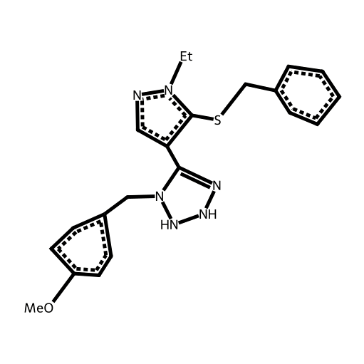 CCn1ncc(C2=NNNN2Cc2ccc(OC)cc2)c1SCc1ccccc1